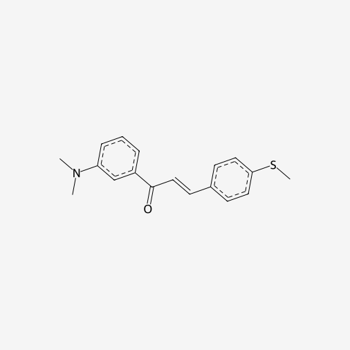 CSc1ccc(C=CC(=O)c2cccc(N(C)C)c2)cc1